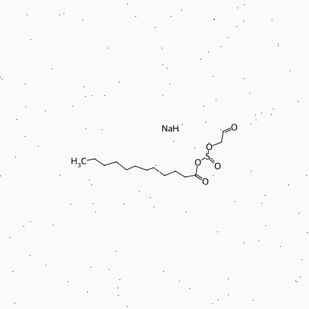 CCCCCCCCCCCC(=O)OS(=O)OCC=O.[NaH]